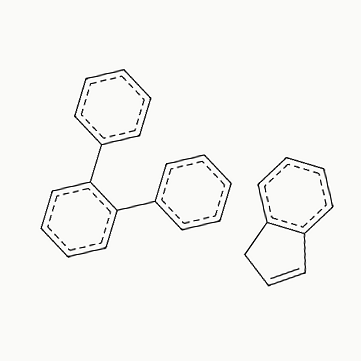 C1=Cc2ccccc2C1.c1ccc(-c2ccccc2-c2ccccc2)cc1